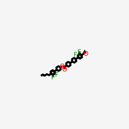 C/C=C/CCc1ccc(C2CCC(OC(=O)C3CCC(C4CC=C(c5ccc(C6CO6)c(F)c5F)CC4)CC3)CC2)c(F)c1F